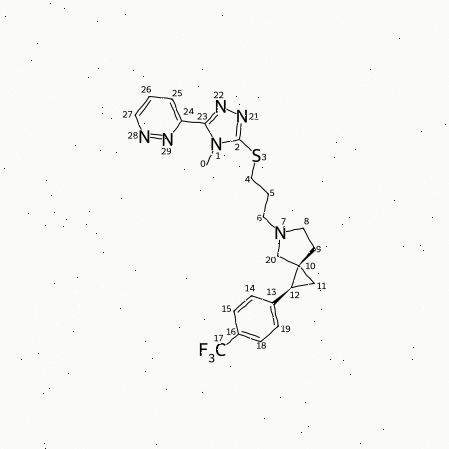 Cn1c(SCCCN2CC[C@]3(C[C@H]3c3ccc(C(F)(F)F)cc3)C2)nnc1-c1cccnn1